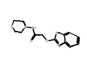 O=C(COc1nc2ccccc2s1)NN1CCOCC1